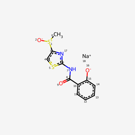 C[S+]([O-])c1csc(NC(=O)c2ccccc2[O-])n1.[Na+]